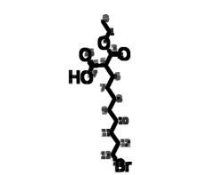 CCOC(=O)C(CCCCCCCCBr)C(=O)O